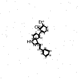 CCc1cncc(-c2ccc3[nH]nc(C=Cc4ccccc4)c3c2)c1Cl